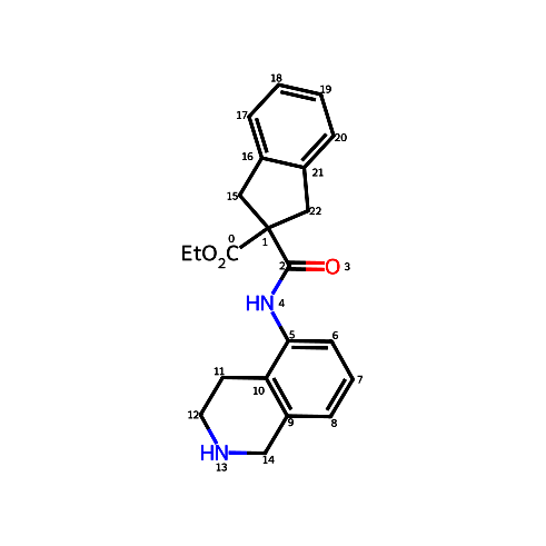 CCOC(=O)C1(C(=O)Nc2cccc3c2CCNC3)Cc2ccccc2C1